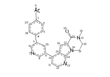 CC(=O)c1ccc(-c2cncc(-c3ccnc4c3cc3n4CCN(C)C3=O)c2)cc1